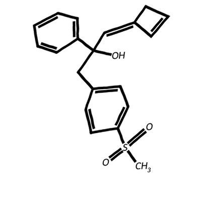 CS(=O)(=O)c1ccc(CC(O)(C=C2C=CC2)c2ccccc2)cc1